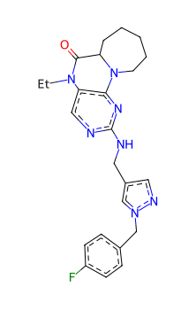 CCN1C(=O)C2CCCCCN2c2nc(NCc3cnn(Cc4ccc(F)cc4)c3)ncc21